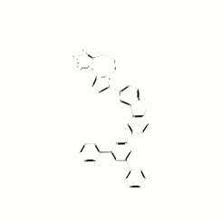 c1ccc(-c2cc(-c3ccccc3)cc(-c3ccc4oc5ccc(-c6ccc7n6CCCc6nnnn6-7)cc5c4c3)c2)cc1